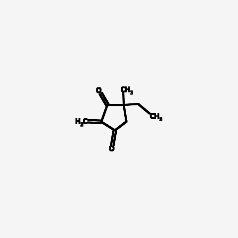 C=C1C(=O)CC(C)(CC)C1=O